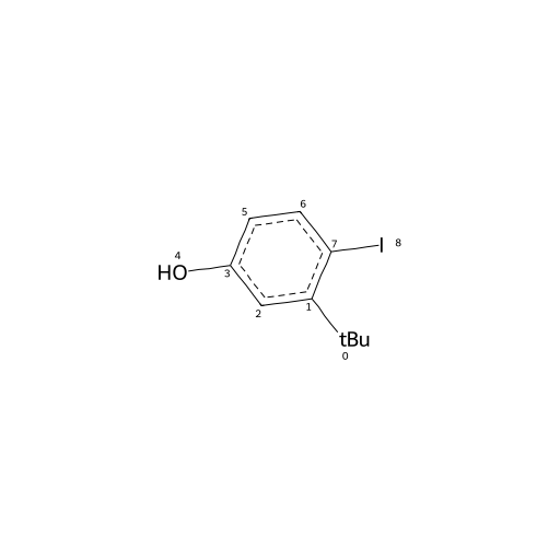 CC(C)(C)c1cc(O)ccc1I